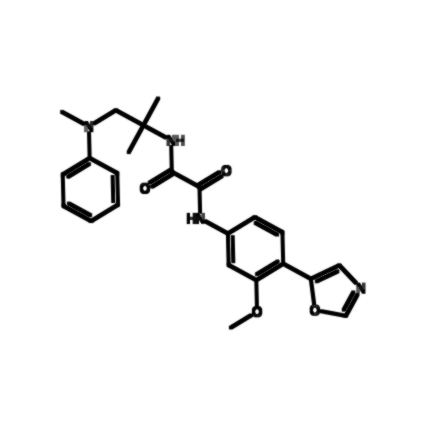 COc1cc(NC(=O)C(=O)NC(C)(C)CN(C)c2ccccc2)ccc1-c1cnco1